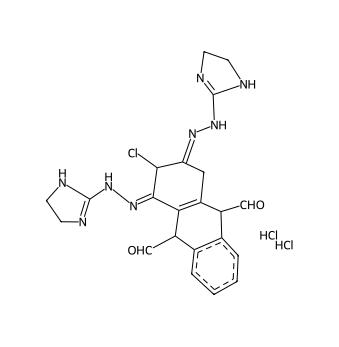 Cl.Cl.O=CC1C2=C(C(=NNC3=NCCN3)C(Cl)C(=NNC3=NCCN3)C2)C(C=O)c2ccccc21